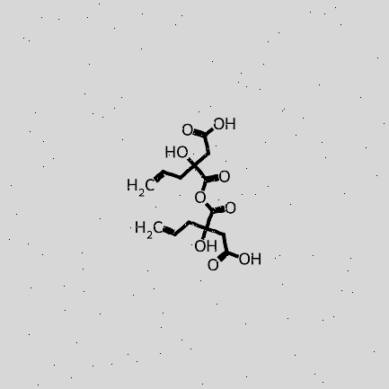 C=CCC(O)(CC(=O)O)C(=O)OC(=O)C(O)(CC=C)CC(=O)O